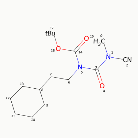 CN(C#N)C(=O)N(CCC1CCCCC1)C(=O)OC(C)(C)C